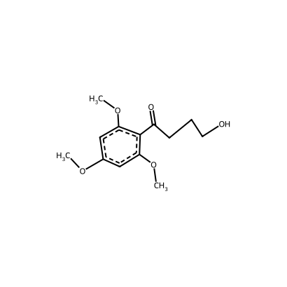 COc1cc(OC)c(C(=O)CCCO)c(OC)c1